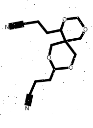 N#CCCC1OCC2(COCOC2CCC#N)CO1